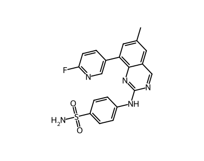 Cc1cc(-c2ccc(F)nc2)c2nc(Nc3ccc(S(N)(=O)=O)cc3)ncc2c1